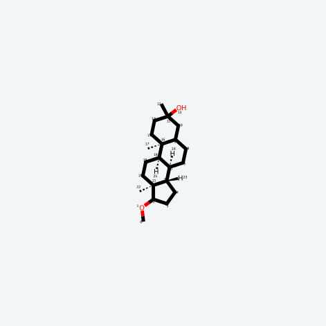 COC1CC[C@H]2[C@@H]3CCC4CC(C)(O)CC[C@]4(C)[C@@H]3CC[C@]12C